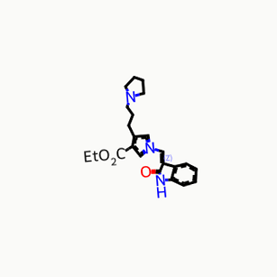 CCOC(=O)c1cn(/C=C2\C(=O)Nc3ccccc32)cc1CCCN1CCCC1